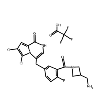 NCC1CN(C(=O)c2cc(Cc3c[nH]c(=O)c4cc(Cl)c(Cl)n34)ccc2F)C1.O=C(O)C(F)(F)F